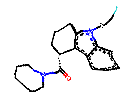 O=C([C@@H]1CCCc2c1c1ccccc1n2CCF)N1CCCCC1